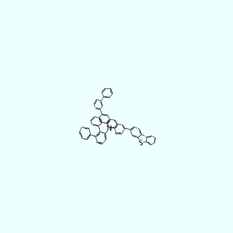 c1ccc(-c2cccc(-c3ccc(N(c4ccc(-c5ccc6c(c5)sc5ccccc56)cc4)c4cccc(-c5ccccc5)c4-c4ccccc4-c4ccccc4)cc3)c2)cc1